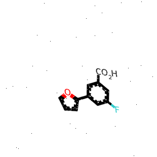 O=C(O)c1cc(F)cc(-c2ccco2)c1